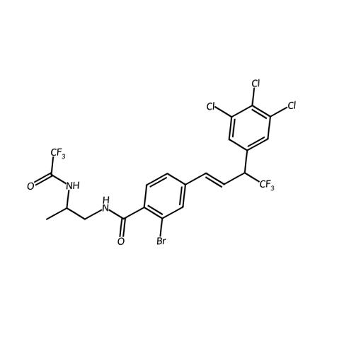 CC(CNC(=O)c1ccc(/C=C/C(c2cc(Cl)c(Cl)c(Cl)c2)C(F)(F)F)cc1Br)NC(=O)C(F)(F)F